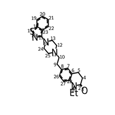 CCN1C(=O)CCc2cc(CCN3CCN(c4nsc5ccccc45)CC3)ccc21